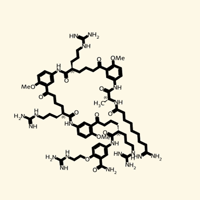 COc1ccc(NC(=O)[C@@H](CCCNC(=N)N)CCCC(=O)c2cc(NC(=O)[C@@H](CCCNC(=N)N)CCCC(=O)c3cc(NC(=O)[C@@H](C)NC(=O)CCCCCCCC(=N)N)ccc3OC)ccc2OC)cc1C(=O)CCC[C@H](CCCNC(=N)N)C(=O)Nc1ccc(OCCNC(=N)N)c(C(N)=O)c1